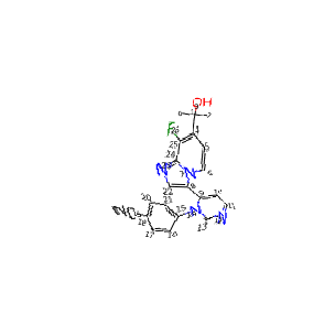 CC(C)(O)c1ccn2c(C3=CC=NCN3c3ccc(C#N)cc3)cnc2c1F